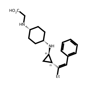 CCC(=Cc1ccccc1)[C@@H]1C[C@H]1N[C@H]1CC[C@@H](NCC(=O)O)CC1